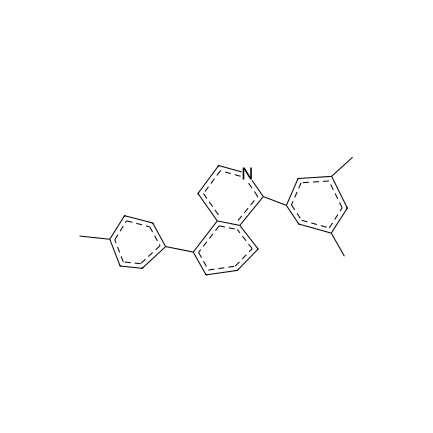 Cc1ccc(-c2cccc3c(-c4cc(C)cc(C)c4)nccc23)cc1